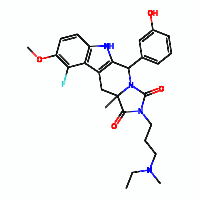 CCN(C)CCCN1C(=O)N2C(c3cccc(O)c3)c3[nH]c4ccc(OC)c(F)c4c3CC2(C)C1=O